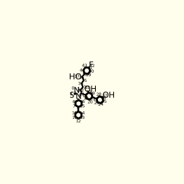 CN1C(=S)N(c2ccc(-c3ccccc3)cc2)C(c2ccc(-c3cccc(O)c3)cc2O)C1CCCC(O)c1ccc(F)cc1